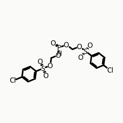 O=[PH](OCOS(=O)(=O)c1ccc(Cl)cc1)OCOS(=O)(=O)c1ccc(Cl)cc1